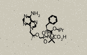 CC(C)OC(=O)[C@H](Cc1ccccc1)OP(=O)(CO[C@H](C)Cn1cnc2c(N)ncnc21)NC(C)(C)C(=O)O